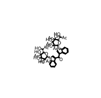 CC(=O)C(O)[C@H]1O[C@@H](n2cc(C(=O)c3cn([C@@H]4O[C@H](C(O)C(C)=O)[C@](O)(C(C)=O)[C@@](O)(C(C)=O)[C@]4(O)C(C)=O)c4ccccc34)c3ccccc32)[C@@](O)(C(C)=O)[C@](O)(C(C)=O)[C@@]1(O)C(C)=O